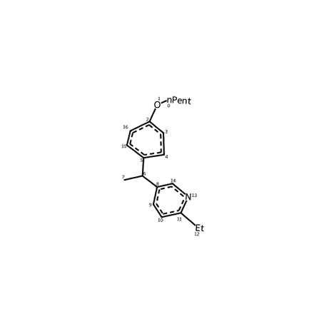 CCCCCOc1ccc(C(C)c2ccc(CC)nc2)cc1